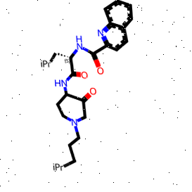 CC(C)CCCN1CCC(NC(=O)[C@H](CC(C)C)NC(=O)c2ccc3ccccc3n2)C(=O)C1